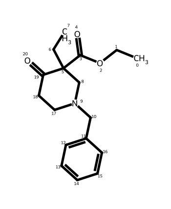 CCOC(=O)C1(CC)CN(Cc2ccccc2)CCC1=O